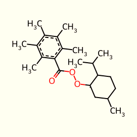 Cc1c(C)c(C)c(C(=O)OO[C]2CC(C)CCC2C(C)C)c(C)c1C